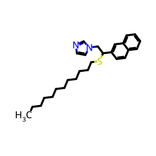 CCCCCCCCCCCCSC(Cn1ccnc1)c1ccc2ccccc2c1